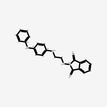 O=C1c2ccccc2C(=O)N1OCCOc1ccc(Oc2ccccc2)cc1